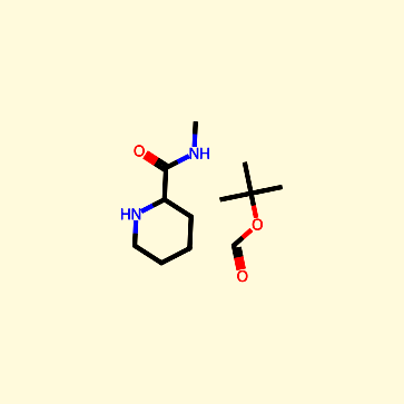 CC(C)(C)OC=O.CNC(=O)C1CCCCN1